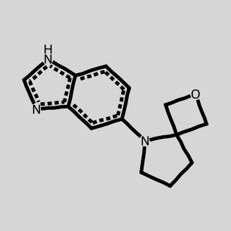 c1nc2cc(N3CCCC34COC4)ccc2[nH]1